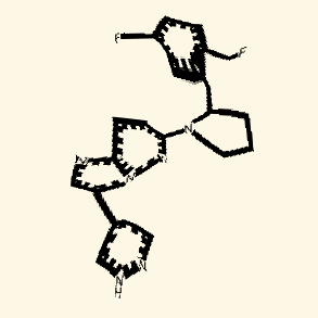 Fc1ccc(F)c(C2CCCN2c2ccc3ncc(-c4cn[nH]c4)n3n2)c1